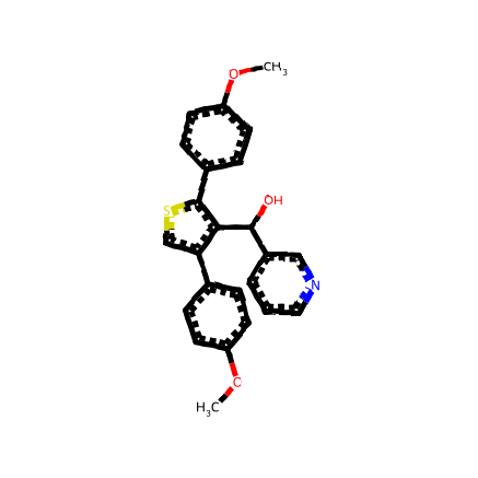 COc1ccc(-c2csc(-c3ccc(OC)cc3)c2C(O)c2cccnc2)cc1